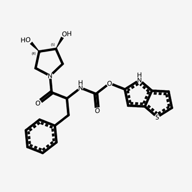 O=C(NC(Cc1ccccc1)C(=O)N1C[C@@H](O)[C@@H](O)C1)Oc1cc2sccc2[nH]1